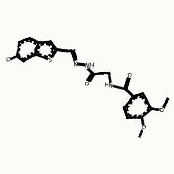 COc1ccc(C(=O)NCC(=O)N/N=C/c2cc3ccc(Cl)cc3s2)cc1OC